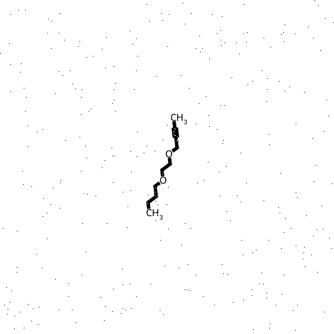 CC#CCOCCOCCCC